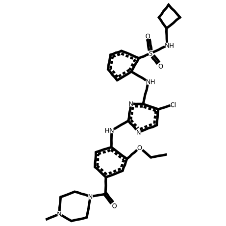 CCOc1cc(C(=O)N2CCN(C)CC2)ccc1Nc1ncc(Cl)c(Nc2ccccc2S(=O)(=O)NC2CCC2)n1